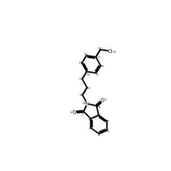 O=C1c2ccccc2C(=O)N1CCCc1ccc(CCl)cc1